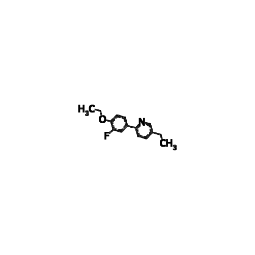 CCOc1ccc(-c2ccc(CC)cn2)cc1F